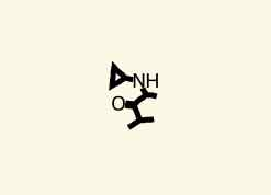 CC(C)C(=O)C(C)NC1CC1